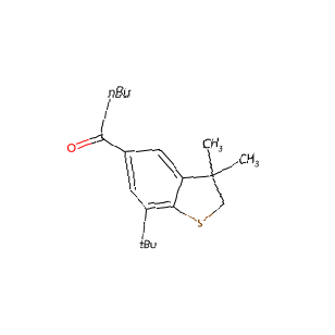 CCCCC(=O)c1cc(C(C)(C)C)c2c(c1)C(C)(C)CS2